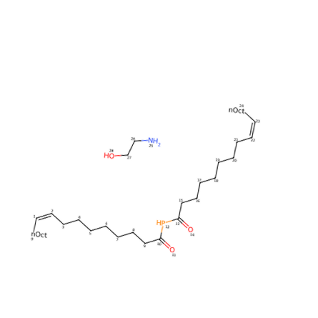 CCCCCCCC/C=C\CCCCCCCC(=O)PC(=O)CCCCCCC/C=C\CCCCCCCC.NCCO